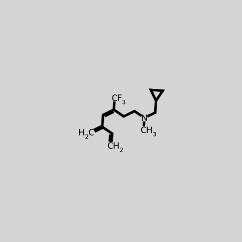 C=CC(=C)/C=C(\CCN(C)CC1CC1)C(F)(F)F